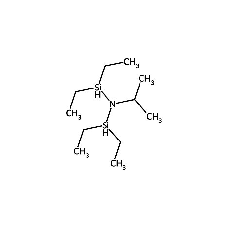 CC[SiH](CC)N(C(C)C)[SiH](CC)CC